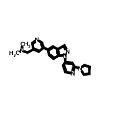 CN(C)Cc1cncc(-c2ccc3c(cnn3-c3ccnc(N4CCCC4)c3)c2)c1